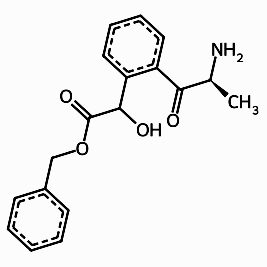 C[C@H](N)C(=O)c1ccccc1C(O)C(=O)OCc1ccccc1